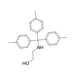 Cc1ccc(C(NCCO)(c2ccc(C)cc2)c2ccc(C)cc2)cc1